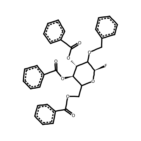 O=C(OCC1O[C@H](F)C(OCc2ccccc2)[C@@H](OC(=O)c2ccccc2)[C@@H]1OC(=O)c1ccccc1)c1ccccc1